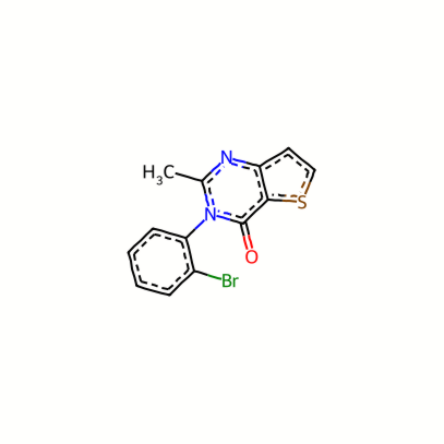 Cc1nc2ccsc2c(=O)n1-c1ccccc1Br